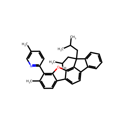 Cc1ccc(-c2c(C)ccc3c2oc2c4c(ccc23)-c2ccccc2C4(CC(C)C)CC(C)C)nc1